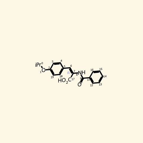 CC(C)Oc1ccc(/C=C(/NC(=O)c2ccccc2)C(=O)O)cc1